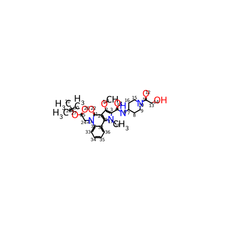 COc1c(C(=O)NC2CCN(C(=O)CO)CC2)n(C)c2c1c(=O)n(CC(=O)OC(C)(C)C)c1ccccc21